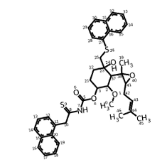 COC1C(OC(=O)NC(=S)Cc2cccc3ccccc23)CCC(O)(CSc2cccc3ccccc23)C1C1(C)OC1CC=C(C)C